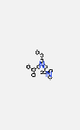 C1=C(c2c3ccccc3cc3c2c2ccccc2n3-c2ccccc2)C=C(N(c2ccc(-c3cccc(-c4ccccc4)c3)cc2)c2ccc(-c3cc(-c4ccccc4)cc(-c4ccccc4)c3)cc2)CC1